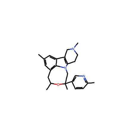 Cc1cc2c3c(c1)c1c(n3CC(C)(c3ccc(C)nc3)OC(C)C2)CCN(C)C1